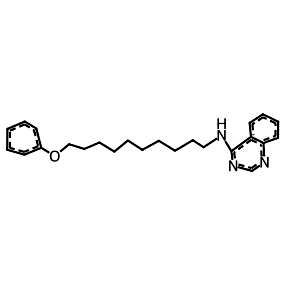 c1ccc(OCCCCCCCCCCNc2ncnc3ccccc23)cc1